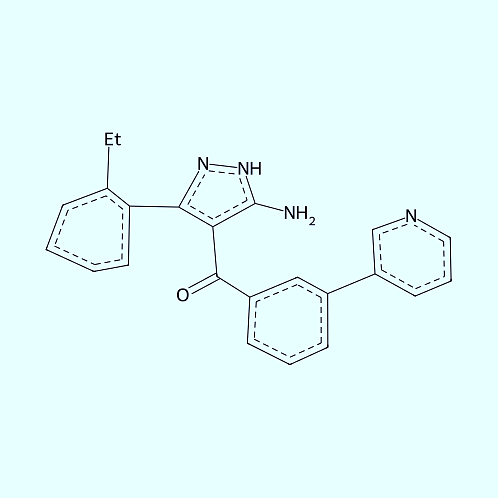 CCc1ccccc1-c1n[nH]c(N)c1C(=O)c1cccc(-c2cccnc2)c1